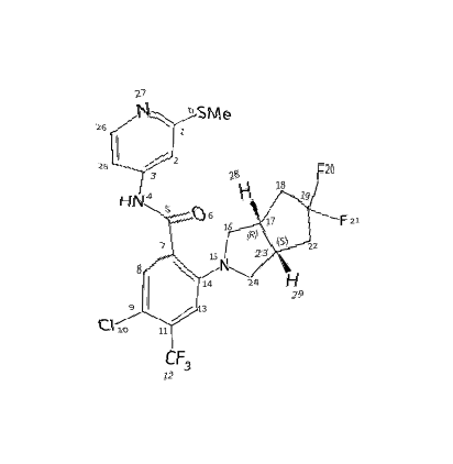 CSc1cc(NC(=O)c2cc(Cl)c(C(F)(F)F)cc2N2C[C@@H]3CC(F)(F)C[C@@H]3C2)ccn1